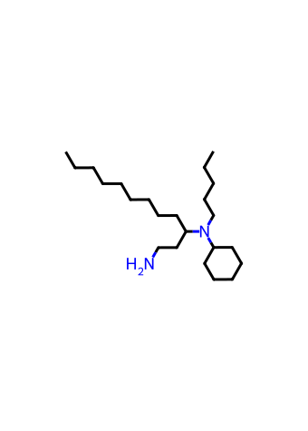 CCCCCCCCCC(CCN)N(CCCCC)C1CCCCC1